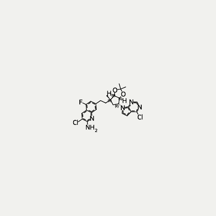 CC1(C)O[C@H]2[C@H](n3ccc4c(Cl)ncnc43)C[C@](C)(CCc3cc(F)c4cc(Cl)c(N)nc4c3)[C@H]2O1